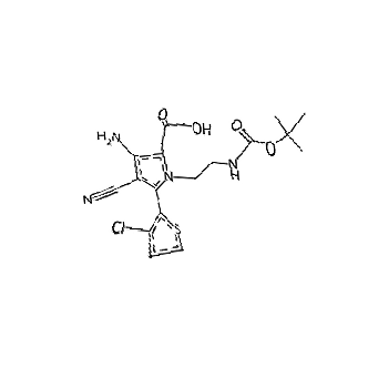 CC(C)(C)OC(=O)NCCn1c(C(=O)O)c(N)c(C#N)c1-c1sccc1Cl